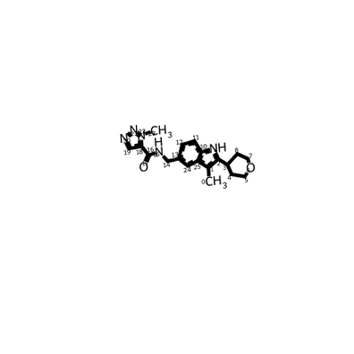 Cc1c(C2CCOCC2)[nH]c2ccc(CNC(=O)c3cnnn3C)cc12